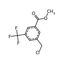 COC(=O)c1cc(CCl)cc(C(F)(F)F)c1